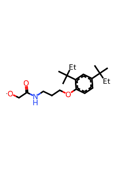 CCC(C)(C)c1ccc(OCCCNC(=O)C[O])c(C(C)(C)CC)c1